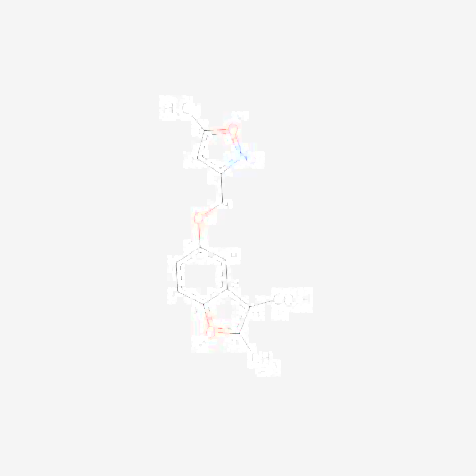 Cc1cc(COc2ccc3oc(C)c(C(=O)O)c3c2)no1